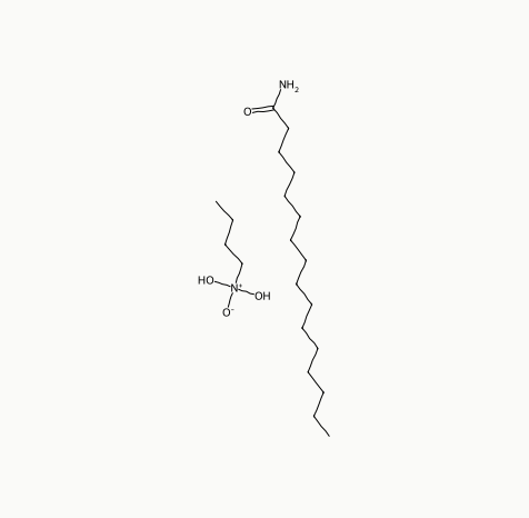 CCCCCCCCCCCCCCCC(N)=O.CCCC[N+]([O-])(O)O